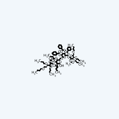 CCCCOCC[C@@H](OCCCC)C(OCCCC)[C@@H](OC(C)=O)[C@H](O)OC1[C@H](OCCCC)C(CO[C@H]2OC(CO[C@H]3OC(COCCCC)[C@@H](OCCCC)C(OCCCC)[C@H]3OC(C)=O)[C@@H](OC(=O)c3ccccc3)C(OC(=O)c3ccccc3)[C@H]2OC(=O)c2ccccc2)O[C@@H](O)[C@@H]1OCCCC